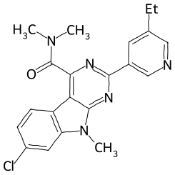 CCc1cncc(-c2nc(C(=O)N(C)C)c3c4ccc(Cl)cc4n(C)c3n2)c1